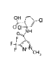 Cn1cc(C(=O)NC2(Cl)C=C(Cl)C=C[C@H]2C(=O)O)c(C(F)(F)F)n1